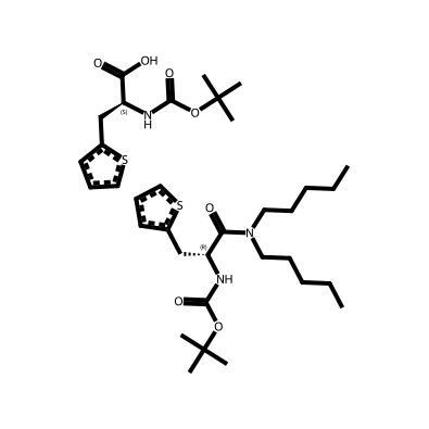 CC(C)(C)OC(=O)N[C@@H](Cc1cccs1)C(=O)O.CCCCCN(CCCCC)C(=O)[C@@H](Cc1cccs1)NC(=O)OC(C)(C)C